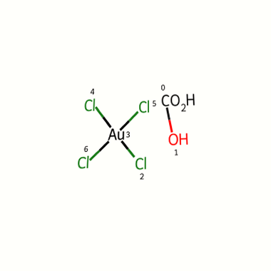 O=C(O)O.[Cl][Au]([Cl])([Cl])[Cl]